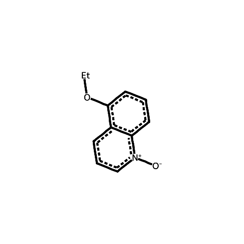 CCOc1cccc2c1ccc[n+]2[O-]